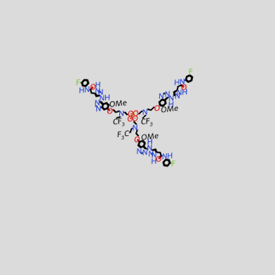 COc1cc2c(Nc3cc(CC(=O)Nc4cccc(F)c4)[nH]n3)ncnc2cc1OCCCN(CCOP(=O)(OCCN(CCCOc1cc2ncnc(Nc3cc(CC(=O)Nc4cccc(F)c4)[nH]n3)c2cc1OC)CCC(F)(F)F)OCCN(CCCOc1cc2ncnc(Nc3cc(CC(=O)Nc4cccc(F)c4)[nH]n3)c2cc1OC)CCC(F)(F)F)CCC(F)(F)F